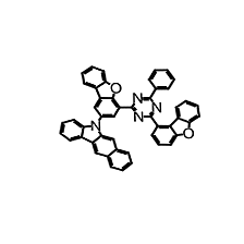 c1ccc(-c2nc(-c3cc(-n4c5ccccc5c5cc6ccccc6cc54)cc4c3oc3ccccc34)nc(-c3cccc4oc5ccccc5c34)n2)cc1